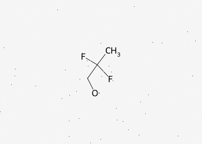 CC(F)(F)C[O]